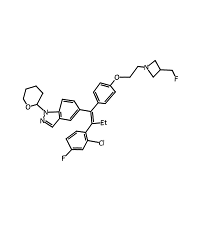 CCC(=C(c1ccc(OCCN2CC(CF)C2)cc1)c1ccc2c(cnn2C2CCCCO2)c1)c1ccc(F)cc1Cl